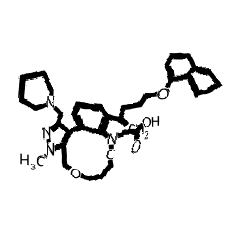 C=C(CCCOc1cccc2ccccc12)c1cccc2c1N(CC(=O)O)CCCCOCc1c-2c(CN2CCCCC2)nn1C